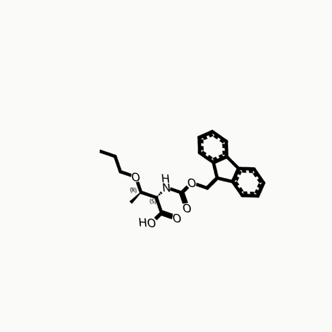 CCCO[C@H](C)[C@H](NC(=O)OCC1c2ccccc2-c2ccccc21)C(=O)O